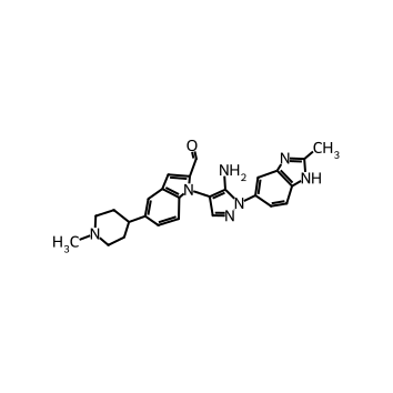 Cc1nc2cc(-n3ncc(-n4c(C=O)cc5cc(C6CCN(C)CC6)ccc54)c3N)ccc2[nH]1